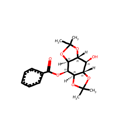 CC1(C)O[C@@H]2[C@H](OC(=O)c3ccccc3)[C@@H]3OC(C)(C)O[C@H]3[C@H](O)[C@H]2O1